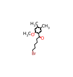 COc1cc(C)c(C)cc1C(=O)CCCCCBr